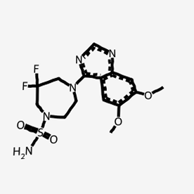 COc1cc2ncnc(N3CCN(S(N)(=O)=O)CC(F)(F)C3)c2cc1OC